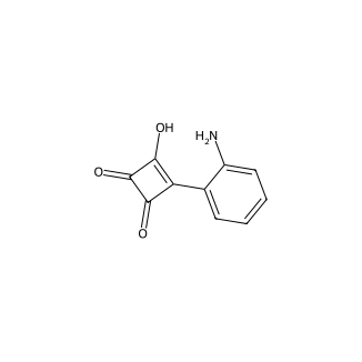 Nc1ccccc1-c1c(O)c(=O)c1=O